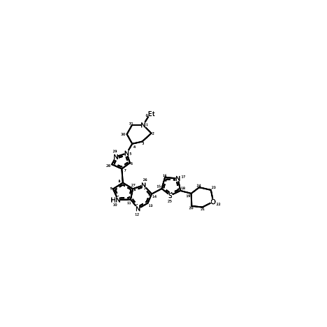 CCN1CCC(n2cc(-c3c[nH]c4ncc(-c5cnc(C6CCOCC6)s5)nc34)cn2)CC1